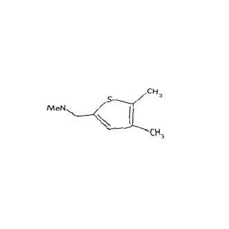 CNCc1cc(C)c(C)s1